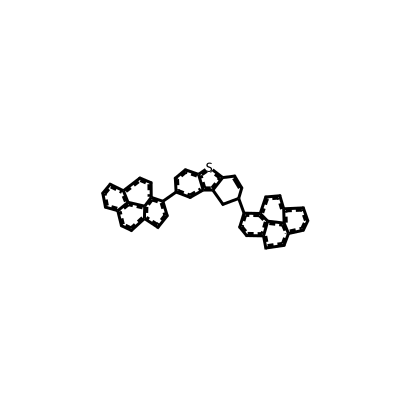 C1=CC(c2ccc3ccc4cccc5ccc2c3c45)Cc2c1sc1ccc(-c3ccc4ccc5cccc6ccc3c4c56)cc21